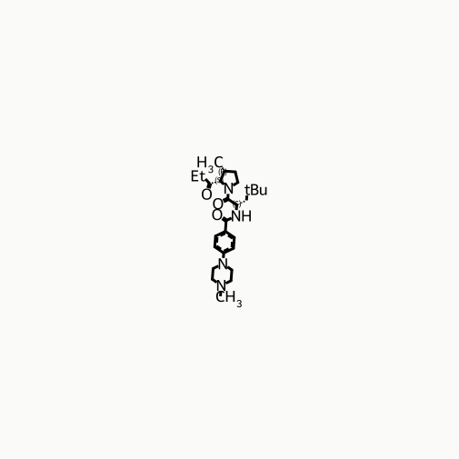 CCC(=O)[C@@H]1[C@H](C)CCN1C(=O)[C@H](CC(C)(C)C)NC(=O)c1ccc(N2CCN(C)CC2)cc1